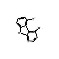 Nc1ncnc2[nH]c3cccc(F)c3c12